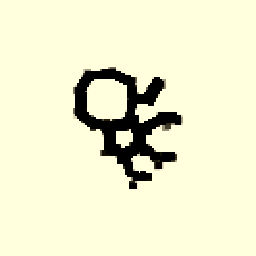 C=CC1CCC/C=C\Cc2cc(OC)c(OC)c(OC)c21